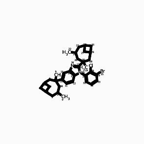 CC1CC2CC(C2)CC(C)(c2ccc3c(c2)nc(C2(C)CC(C)CC4CC(C4)C2)n3-c2cccc(Br)c2Cl)C1